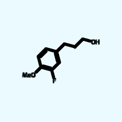 COc1ccc(C[CH]CO)cc1F